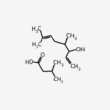 C=CC(O)C(C)CC=C(C)C.CC(C)CC(=O)O